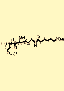 CCCCCCCCCCCCCCCC(=O)NCCCC[C@H](N)C(=O)N[C@@H](CCC(=O)O)C(=O)O